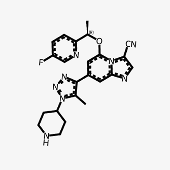 Cc1c(-c2cc(O[C@H](C)c3ccc(F)cn3)n3c(C#N)cnc3c2)nnn1C1CCNCC1